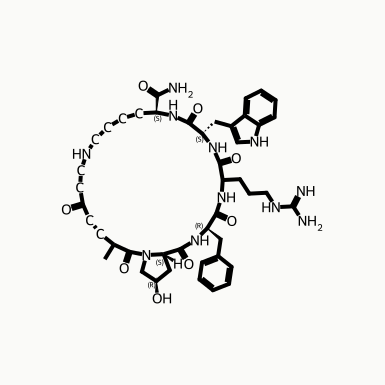 CC1CCC(=O)CCNCCCC[C@@H](C(N)=O)NC(=O)[C@H](Cc2c[nH]c3ccccc23)NC(=O)C(CCCNC(=N)N)NC(=O)[C@@H](Cc2ccccc2)NC(=O)[C@@H]2C[C@@H](O)CN2C1=O